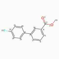 COC(=O)c1cc[c]c(-c2ccc(F)cc2)c1